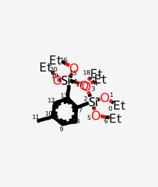 CCO[Si](OCC)(OCC)c1ccc(C)cc1[Si](OCC)(OCC)OCC